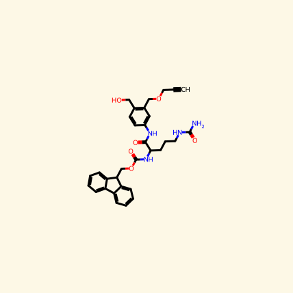 C#CCOCc1cc(NC(=O)C(CCCNC(N)=O)NC(=O)OCC2c3ccccc3-c3ccccc32)ccc1CO